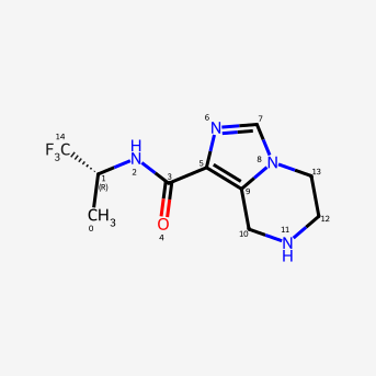 C[C@@H](NC(=O)c1ncn2c1CNCC2)C(F)(F)F